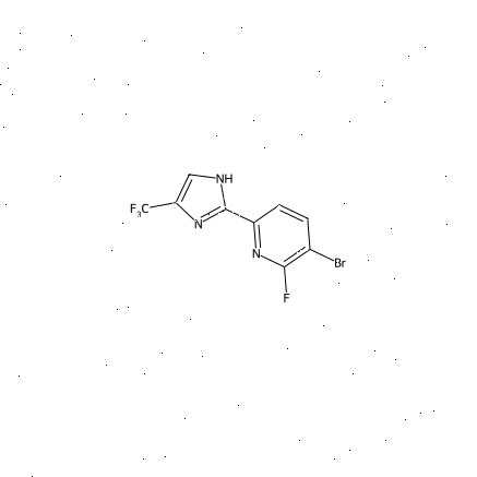 Fc1nc(-c2nc(C(F)(F)F)c[nH]2)ccc1Br